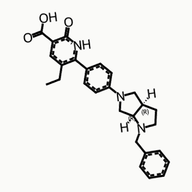 CCc1cc(C(=O)O)c(=O)[nH]c1-c1ccc(N2C[C@H]3CCN(Cc4ccccc4)[C@H]3C2)cc1